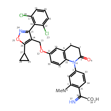 CNc1cc(N2C(=O)CCc3cc(OCc4c(-c5c(Cl)cccc5Cl)noc4C4CC4)ccc32)ccc1C(=N)C(=O)O